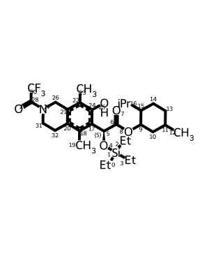 CC[Si](CC)(CC)O[C@H](C(=O)OC1CC(C)CCC1C(C)C)c1c(C)c2c(c(C)c1O)CN(C(=O)C(F)(F)F)CC2